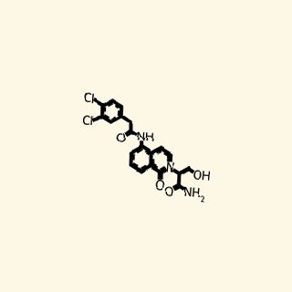 NC(=O)C(CO)n1ccc2c(NC(=O)Cc3ccc(Cl)c(Cl)c3)cccc2c1=O